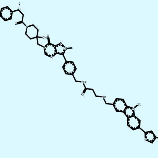 CCn1c2ccc(CNCCC(=O)NCc3ccc(-c4c5ncn(CC6(O)CCN(C(=O)C[C@@H](C)c7ccccc7)CC6)c(=O)c5nn4C)cc3)cc2c2ccc(-c3cc(C)cs3)cc21